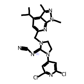 Cc1nn(C)c2nc(CN3CCN(c4cc(Cl)nc(Cl)c4)/C3=N/C#N)cc(C(C)C)c12